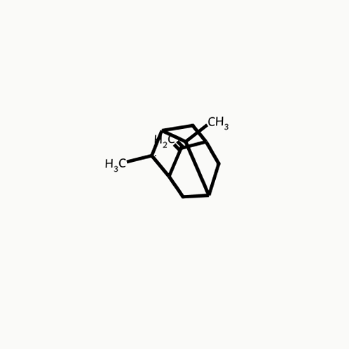 C=C1C2CC3CC1[C](C)C(C2)C3C